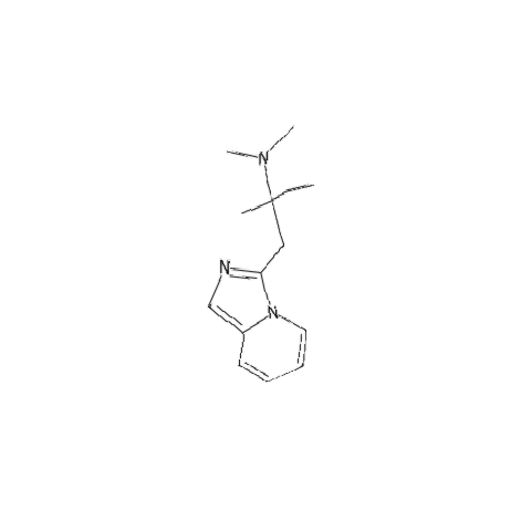 CN(C)C(C)(C)Cc1ncc2ccccn12